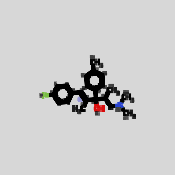 C/C(=C\c1ccc(F)cc1)C(O)(c1ccc(C)cc1)C(C)CN(C)C